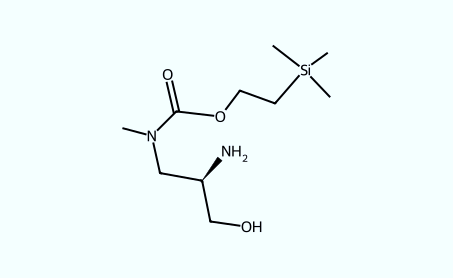 CN(C[C@@H](N)CO)C(=O)OCC[Si](C)(C)C